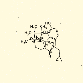 CO[C@]12CCC3(CC1C(C)(O)C(C)(C)C)[C@H]1Cc4ccc(O)c5c4[C@@]3(CCN1CC1CC1)[C@H]2O5